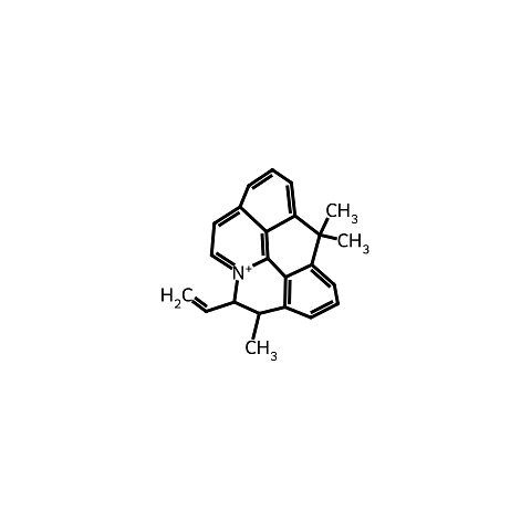 C=CC1C(C)c2cccc3c2-c2c4c(cccc4cc[n+]21)C3(C)C